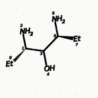 CC[C@H](N)C(O)[C@@H](N)CC